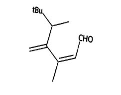 C=C(C(C)=CC=O)C(C)C(C)(C)C